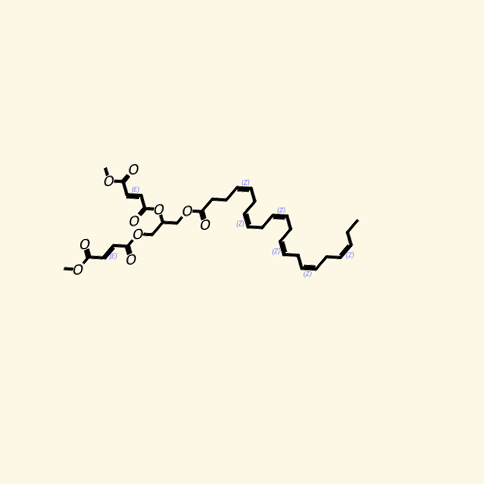 CC/C=C\C/C=C\C/C=C\C/C=C\C/C=C\C/C=C\CCC(=O)OCC(COC(=O)/C=C/C(=O)OC)OC(=O)/C=C/C(=O)OC